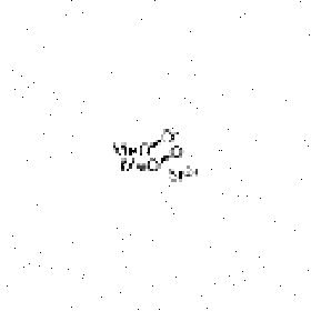 CO[O-].CO[O-].[Sr+2]